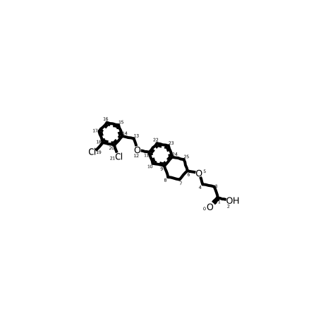 O=C(O)CCOC1CCc2cc(OCc3cccc(Cl)c3Cl)ccc2C1